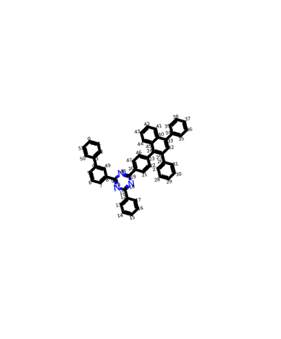 c1ccc(-c2cccc(-c3nc(-c4ccccc4)nc(-c4ccc(-c5c(-c6ccccc6)cc(-c6ccccc6)c6ccccc56)cc4)n3)c2)cc1